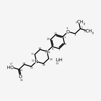 CC(C)COc1ccc(N2CCN(CCC(=O)O)CC2)cc1.[LiH]